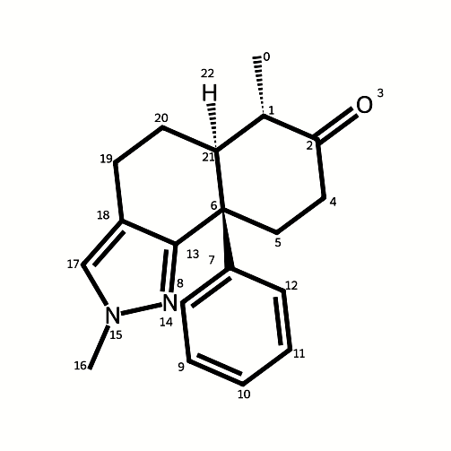 C[C@@H]1C(=O)CC[C@]2(c3ccccc3)c3nn(C)cc3CC[C@@H]12